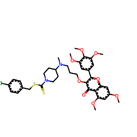 COc1cc(OC)c2c(=O)c(OCCCN(C)C3CCN(C(=S)SCc4ccc(Cl)cc4)CC3)c(-c3cc(OC)c(OC)c(OC)c3)oc2c1